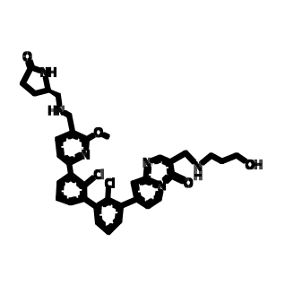 COc1nc(-c2cccc(-c3cccc(-c4ccn5c(=O)c(CNCCCO)cnc5c4)c3Cl)c2Cl)ccc1CNC[C@H]1CCC(=O)N1